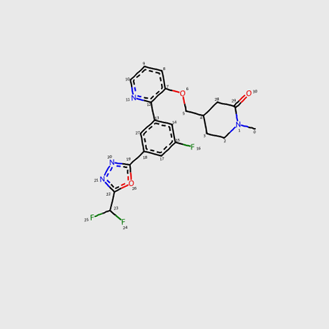 CN1CCC(COc2cccnc2-c2cc(F)cc(-c3nnc(C(F)F)o3)c2)CC1=O